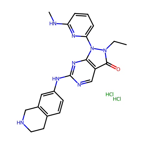 CCn1c(=O)c2cnc(Nc3ccc4c(c3)CNCC4)nc2n1-c1cccc(NC)n1.Cl.Cl